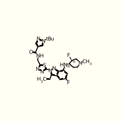 C=Cc1c2cc(F)cc(N[C@@H]3CCN(C)C[C@@H]3F)c2nn1-c1nnc(CNC(=O)c2cnn(C(C)(C)C)c2)s1